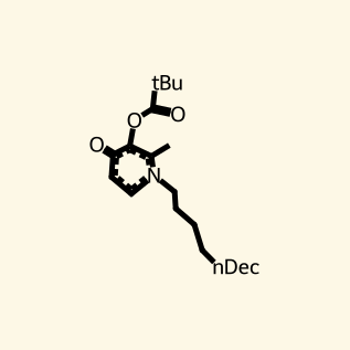 CCCCCCCCCCCCCCn1ccc(=O)c(OC(=O)C(C)(C)C)c1C